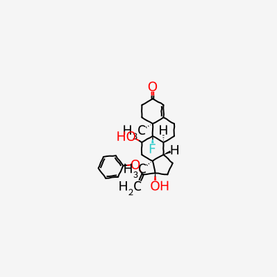 C=C(Oc1ccccc1)[C@@]1(O)CC[C@H]2[C@@H]3CCC4=CC(=O)CC[C@]4(C)[C@@]3(F)C(O)C[C@@]21C